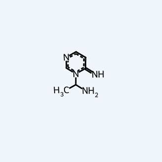 CC(N)n1cnccc1=N